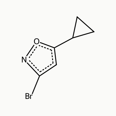 Brc1cc(C2CC2)on1